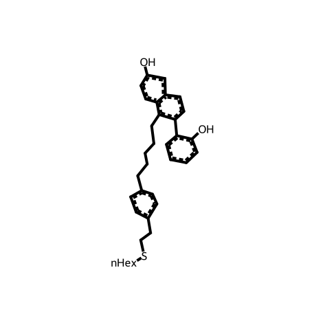 CCCCCCSCCc1ccc(CCCCCc2c(-c3ccccc3O)ccc3cc(O)ccc23)cc1